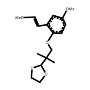 COC=Cc1cc(OC)ccc1OCC(C)(C)C1OCCO1